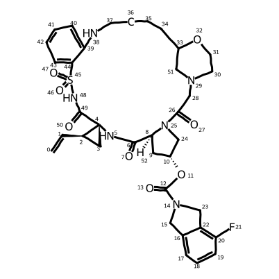 C=C[C@@H]1C[C@@]12NC(=O)[C@@H]1C[C@@H](OC(=O)N3Cc4cccc(F)c4C3)CN1C(=O)CN1CCOC(CCCCNc3ccccc3S(=O)(=O)NC2=O)C1